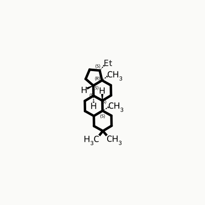 CC[C@H]1CC[C@H]2[C@@H]3CCC4CC(C)(C)CC[C@]4(C)[C@H]3CC[C@]12C